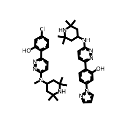 CC1(C)CC(Nc2ccc(-c3ccc(-n4cccn4)cc3O)nn2)CC(C)(C)N1.CN(c1ccc(-c2ccc(Cl)cc2O)nn1)C1CC(C)(C)NC(C)(C)C1